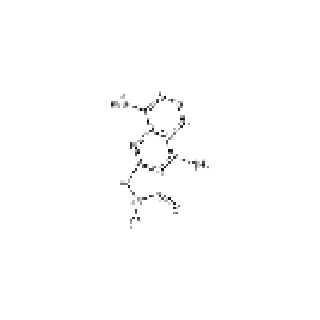 CCCCc1cccc2c(N)c3c(nc12)CN(CCC)C3=O